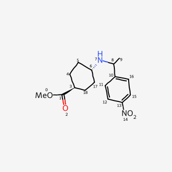 COC(=O)[C@H]1CC[C@H](NC(C)c2ccc([N+](=O)[O-])cc2)CC1